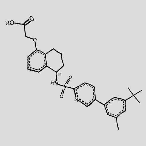 Cc1cc(-c2ccc(S(=O)(=O)N[C@@H]3CCCc4c(OCC(=O)O)cccc43)nc2)cc(C(C)(C)C)c1